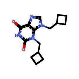 O=c1[nH]c(=O)n(CC2CCC2)c2c1n[c]n2CC1CCC1